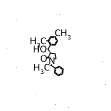 Cc1ccc([C@@H](O)C2CCN([C@@H](C)c3ccccc3)C2=O)c(C)c1